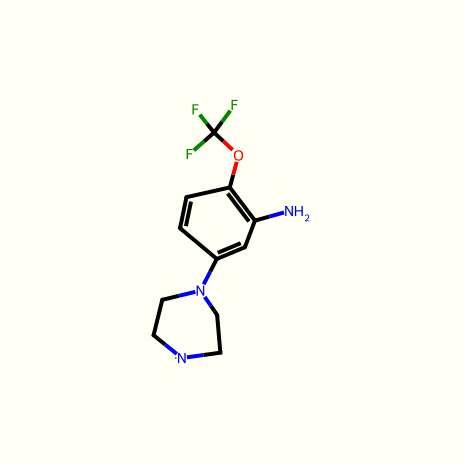 Nc1cc(N2CC[N]CC2)ccc1OC(F)(F)F